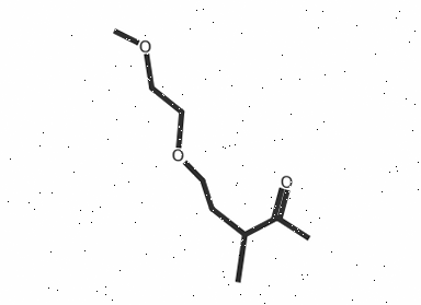 COCCOCCC(C)C(C)=O